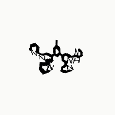 Cc1cc(C2=CC(c3ccccn3)NC(c3ccccn3)=C2)cc(-c2cc(-c3ccccn3)nc(-c3ccccn3)c2)c1